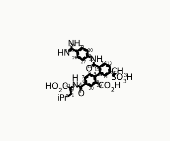 CC(C)C[C@H](NC(=O)c1ccc(-c2ccccc2C(=O)Nc2ccc(C(=N)N)cc2)c(C(=O)O)c1)C(=O)O.CS(=O)(=O)O